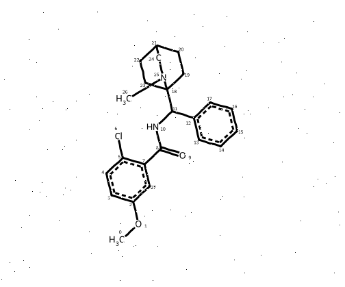 COc1ccc(Cl)c(C(=O)NC(c2ccccc2)C23CCC(CC2)CN3C)c1